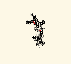 C#CCOCc1cc(NC(=O)[C@H](CCCNC(N)=O)NC(=O)[C@@H](NC(=O)OC(C)(C)C)C(C)C)ccc1C[N+](C)(C)CCC[C@@H]1Cc2ccccc2CN1C(=O)c1ccc(Cl)cc1-c1cc(C(=O)N(c2ccc(O[Si](C)(C)C(C)(C)C)cc2)c2cc(C#N)n(C)c2C)c(C)n1C